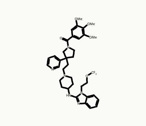 COc1cc(C(=O)N2CCC(CCN3CCC(Nc4nc5ccccc5n4CCOC(F)(F)F)CC3)(c3cccnc3)C2)cc(OC)c1OC